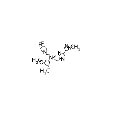 CCc1cc(OC)cc(N(CCN2CCC(F)(F)CC2)c2ccc3ncc(-c4cnn(C)c4)nc3c2)c1